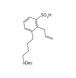 C=CCc1c(CCCCCCCCCCCCCC)cccc1S(=O)(=O)O